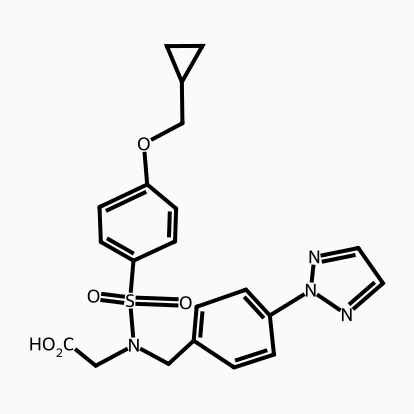 O=C(O)CN(Cc1ccc(-n2nccn2)cc1)S(=O)(=O)c1ccc(OCC2CC2)cc1